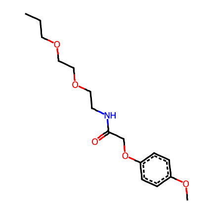 CCCOCCOCCNC(=O)COc1ccc(OC)cc1